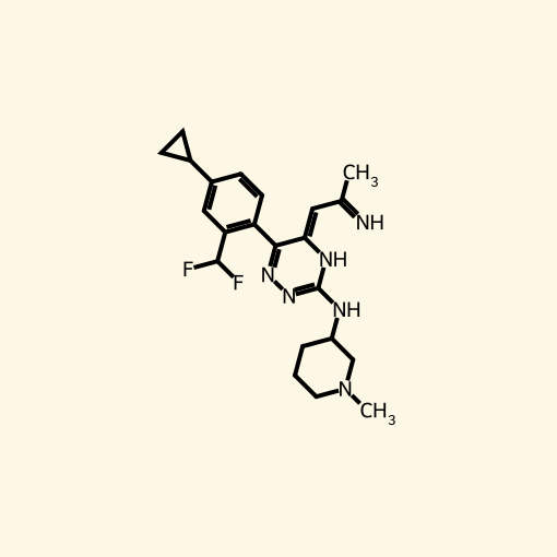 CC(=N)/C=C1\NC(NC2CCCN(C)C2)=NN=C1c1ccc(C2CC2)cc1C(F)F